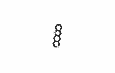 C1=CC2Cc3nc4ccccc4cc3CC2C=N1